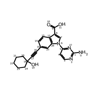 Nc1nccc(-n2cc(C(=O)O)c3ccc(C#CC4(O)CCCCC4)cc32)n1